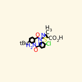 Cc1nc(NC(=O)c2ccc(C(C)(C)C)cc2)sc1C(=O)O.NC(=O)c1ccc(Cl)cc1